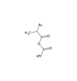 CCCC(=O)OC(=O)C(C)C(C)=O